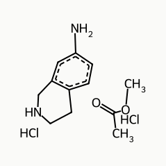 COC(C)=O.Cl.Cl.Nc1ccc2c(c1)CNCC2